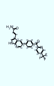 NC(=O)C=Cc1c[nH]c2ncc(-c3ccc(C(=O)c4ccc(C(F)(F)F)cn4)cc3)cc12